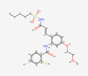 CCCCCS(=O)(=O)NC(=O)C=Cc1ccc(OCCOC)cc1NC(=O)c1ccc(F)cc1F